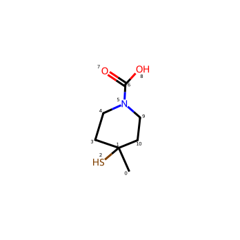 CC1(S)CCN(C(=O)O)CC1